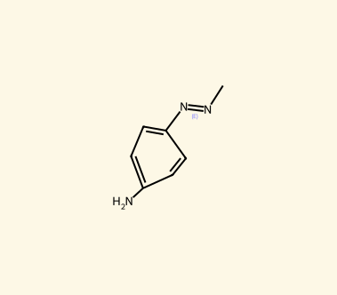 C/N=N/c1ccc(N)cc1